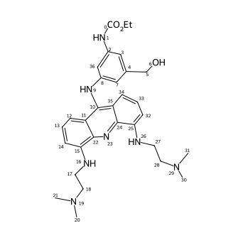 CCOC(=O)Nc1cc(CO)cc(Nc2c3cccc(NCCN(C)C)c3nc3c(NCCN(C)C)cccc23)c1